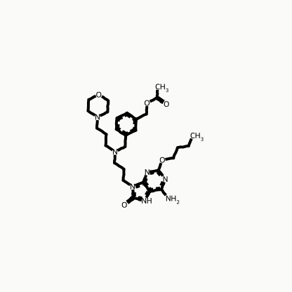 CCCCOc1nc(N)c2[nH]c(=O)n(CCCN(CCCN3CCOCC3)Cc3cccc(COC(C)=O)c3)c2n1